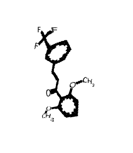 COc1cccc(OC)c1C(=O)C=Cc1cccc(C(F)(F)F)c1